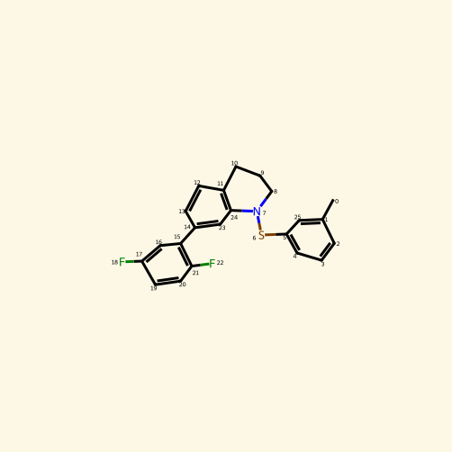 Cc1cccc(SN2CCCc3ccc(-c4cc(F)ccc4F)cc32)c1